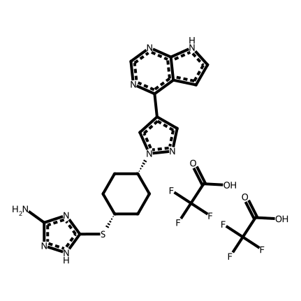 Nc1n[nH]c(S[C@H]2CC[C@@H](n3cc(-c4ncnc5[nH]ccc45)cn3)CC2)n1.O=C(O)C(F)(F)F.O=C(O)C(F)(F)F